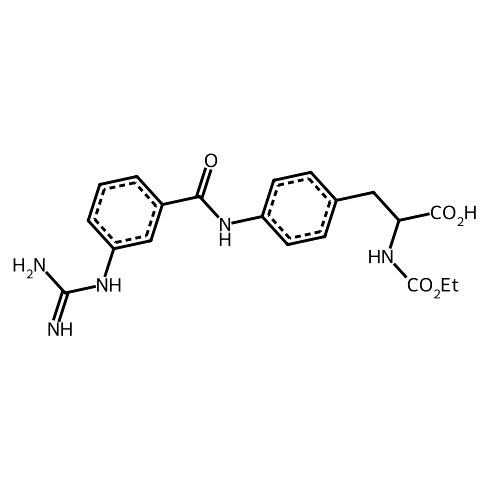 CCOC(=O)NC(Cc1ccc(NC(=O)c2cccc(NC(=N)N)c2)cc1)C(=O)O